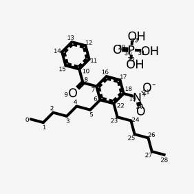 CCCCCCc1c(C(=O)c2ccccc2)ccc([N+](=O)[O-])c1CCCCCC.O=P(O)(O)O